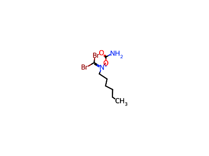 CCCCCC[N+](OC(N)=O)=C(Br)Br